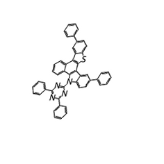 c1ccc(-c2ccc3sc4c(c3c2)c2ccccc2c2c4c3cc(-c4ccccc4)ccc3n2-c2nc(-c3ccccc3)nc(-c3ccccc3)n2)cc1